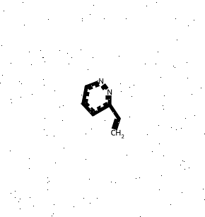 C=Cc1c[c]cnn1